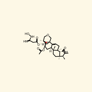 CC(=O)O[C@@H]1C[C@]23COC[C@@](C)([C@@H]2CC[C@H]2C3=CC[C@@]3(C)[C@H](C(=O)O)[C@@](C)([C@H](C)C(C)C)CC[C@]23C)[C@H]1OC(=O)CC(=N)NO